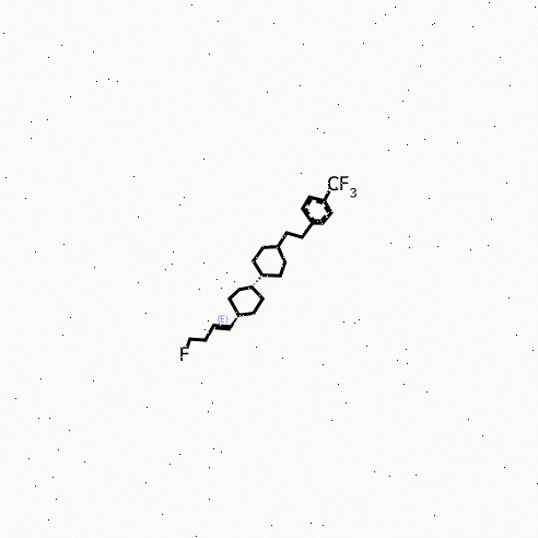 FCC/C=C/[C@H]1CC[C@H](C2CCC(CCc3ccc(C(F)(F)F)cc3)CC2)CC1